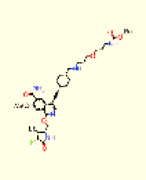 CC[C@@H]1[C@H](F)C(=O)N[C@@H]1COc1ncc(C#C[C@H]2CC[C@H](CNCCCOCCCNC(=O)OC(C)(C)C)CC2)c2cc(C(N)=O)c(OC)cc12